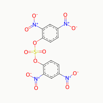 O=[N+]([O-])c1ccc(OS(=O)(=O)Oc2ccc([N+](=O)[O-])cc2[N+](=O)[O-])c([N+](=O)[O-])c1